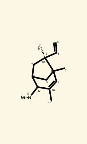 C=C[C@]1(CC)CC2CC1(C)C=C(C)C2NC